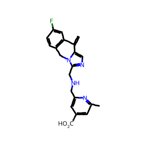 C=C1c2cc(F)ccc2Cn2c1cnc2CNCc1cc(C(=O)O)cc(C)n1